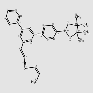 C\C=C/C=C\C=C\c1cc(-c2ccccc2)cc(-c2ccc(B3OC(C)(C)C(C)(C)O3)cc2)n1